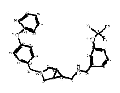 FC(F)(F)Oc1cccc(CNCC2C3CN(Cc4ccc(Oc5ccccc5)cc4)CC23)c1